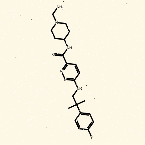 CC(C)(CNc1ccc(C(=O)NC2CCN(CN)CC2)nn1)c1ccc(F)cc1